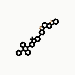 CC1(C)c2cc(-c3ccc4c(c3)sc3ccc5c(ccc6c7ccccc7sc65)c34)ccc2-c2ccc(-c3c4ccccc4c(-c4ccccc4)c4ccccc34)cc21